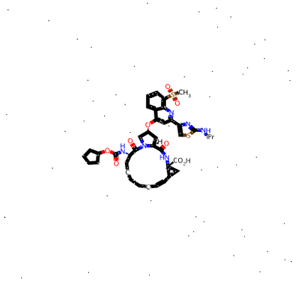 CC(C)Nc1nc(-c2cc(O[C@@H]3C[C@H]4C(=O)N[C@]5(C(=O)O)CC5/C=C\CCCCC[C@H](NC(=O)OC5CCCC5)C(=O)N4C3)c3cccc(S(C)(=O)=O)c3n2)cs1